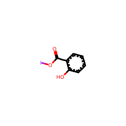 O=C(OI)c1ccccc1O